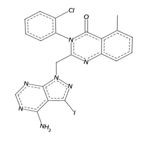 Cc1cccc2nc(Cn3nc(I)c4c(N)ncnc43)n(-c3ccccc3Cl)c(=O)c12